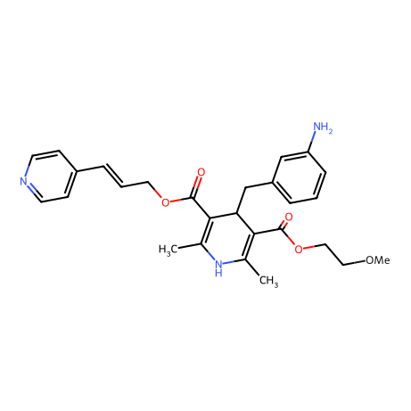 COCCOC(=O)C1=C(C)NC(C)=C(C(=O)OC/C=C/c2ccncc2)C1Cc1cccc(N)c1